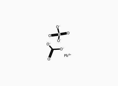 O=C([O-])[O-].O=S(=O)([O-])[O-].[Pb+4]